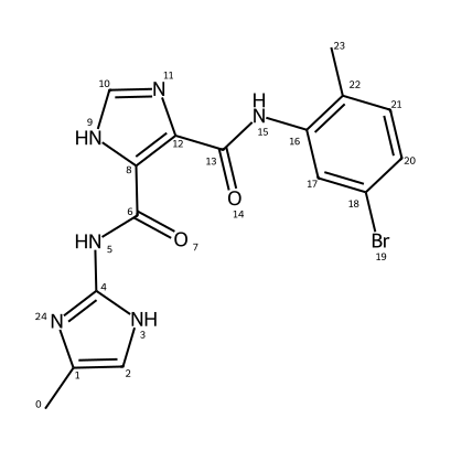 Cc1c[nH]c(NC(=O)c2[nH]cnc2C(=O)Nc2cc(Br)ccc2C)n1